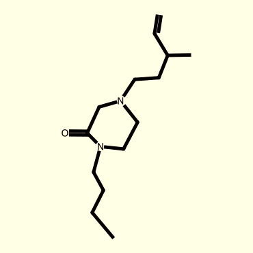 C=CC(C)CCN1CCN(CCCC)C(=O)C1